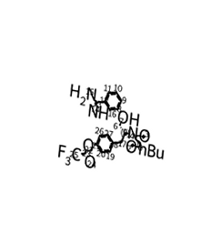 CCCCS(=O)(=O)N[C@@H](COc1cccc(C(=N)N)c1)Cc1ccc(OC(=O)C(F)(F)F)cc1